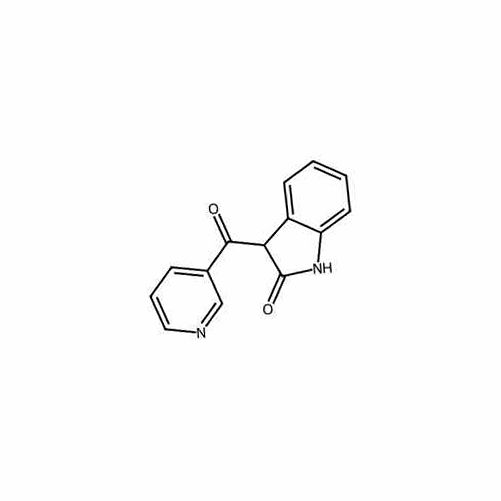 O=C1Nc2ccccc2C1C(=O)c1cccnc1